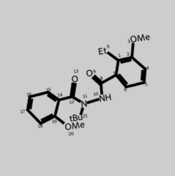 CCc1c(OC)cccc1C(=O)NN(C(=O)c1ccccc1OC)C(C)(C)C